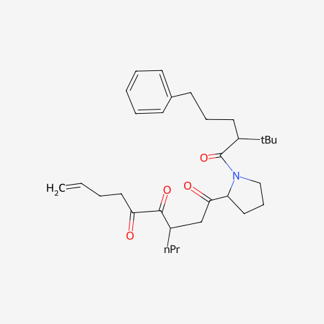 C=CCCC(=O)C(=O)C(CCC)CC(=O)C1CCCN1C(=O)C(CCCc1ccccc1)C(C)(C)C